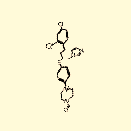 O=CN1CCN(c2ccc(SC(CCc3ccc(Cl)cc3Cl)Cn3ccnc3)cc2)CC1